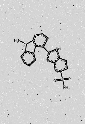 N[C@@H]1c2ccccc2-c2c(-c3nc4cc(S(N)(=O)=O)ccc4[nH]3)cccc21